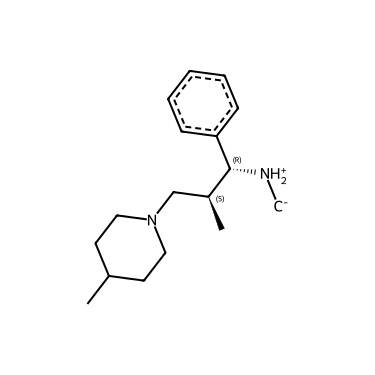 [CH2-][NH2+][C@@H](c1ccccc1)[C@@H](C)CN1CCC(C)CC1